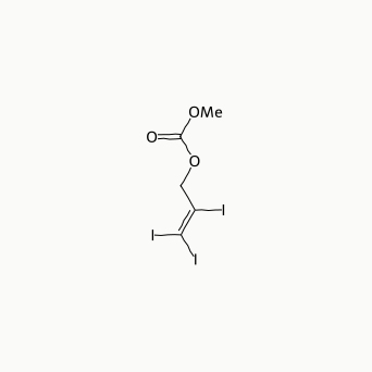 COC(=O)OCC(I)=C(I)I